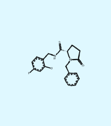 O=C(NCc1ccc(F)cc1Cl)[C@@H]1CCC(=O)N1Cc1ccccc1